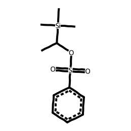 CC(OS(=O)(=O)c1ccccc1)[Si](C)(C)C